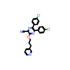 N#Cc1nc(-c2ccc(Cl)cc2)c(-c2ccc(Cl)cc2)nc1OCCCc1cccnc1